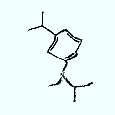 CC(C)c1cccc(N(C)C(C)C)c1